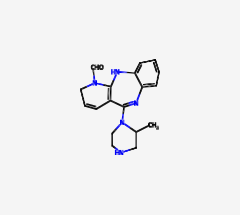 CC1CNCCN1C1=Nc2ccccc2NC2=C1C=CCN2C=O